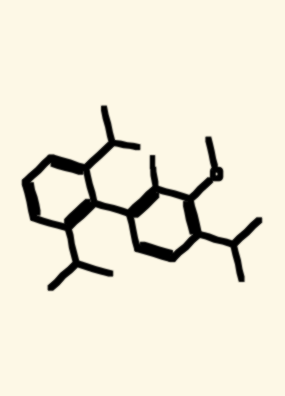 COc1c(C(C)C)ccc(-c2c(C(C)C)cccc2C(C)C)c1I